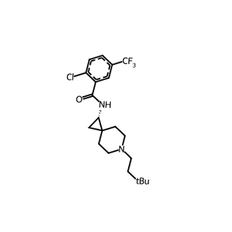 CC(C)(C)CCN1CCC2(CC1)C[C@@H]2NC(=O)c1cc(C(F)(F)F)ccc1Cl